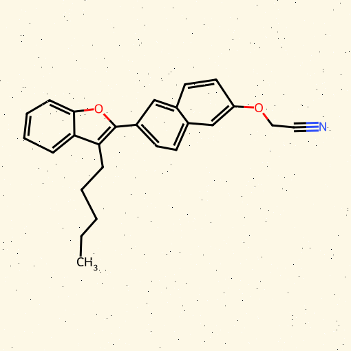 CCCCCc1c(-c2ccc3cc(OCC#N)ccc3c2)oc2ccccc12